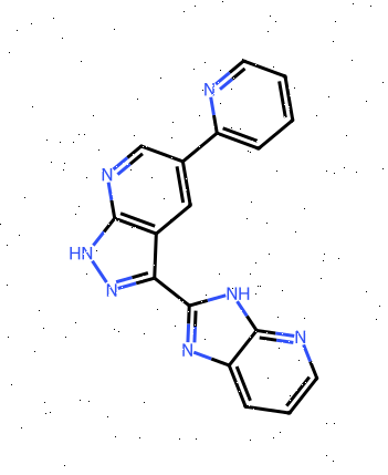 c1ccc(-c2cnc3[nH]nc(-c4nc5cccnc5[nH]4)c3c2)nc1